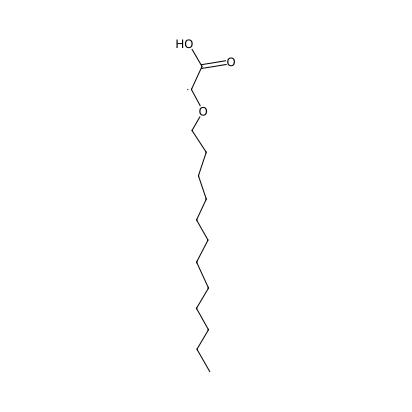 CCCCCCCCCCCCO[CH]C(=O)O